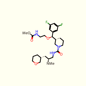 CN[C@H](CNC(=O)N1CCC[C@@H]([C@@H](OCCNC(=O)OC)c2cc(F)cc(F)c2)C1)C[C@H]1CCCOC1